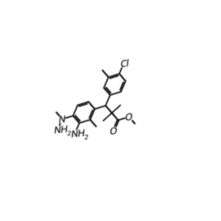 COC(=O)C(C)(C)C(c1ccc(Cl)c(C)c1)c1ccc(N(C)N)c(N)c1C